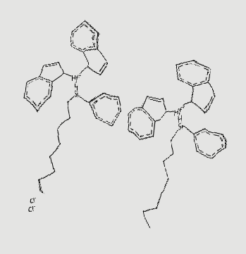 CCCCCCCC[SiH](c1ccccc1)[Hf+]([CH]1C=Cc2ccccc21)[CH]1C=Cc2ccccc21.CCCCCCCC[SiH](c1ccccc1)[Hf+]([CH]1C=Cc2ccccc21)[CH]1C=Cc2ccccc21.[Cl-].[Cl-]